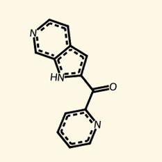 O=C(c1ccccn1)c1cc2ccncc2[nH]1